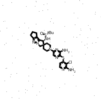 CC(C)(C)[S@@+]([O-])N[C@@H]1c2c3c(nn2CC12CCN(c1cnc(Sc4ccnc(N)c4Cl)c(N)n1)CC2)CCC3